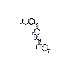 C=C\C(=N/C(C)=C(C)/N=C\C(=C)Sc1cccc(CC(=C)C)c1)N1CCC(C)(C)CC1